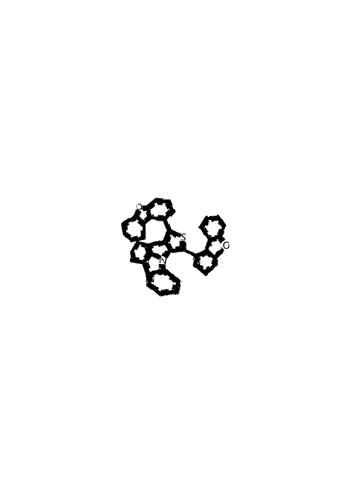 c1ccc2c(c1)oc1cccc(-c3sc(-c4cccc5oc6ccccc6c45)c4c3c3cccc5c6ccccc6n4c53)c12